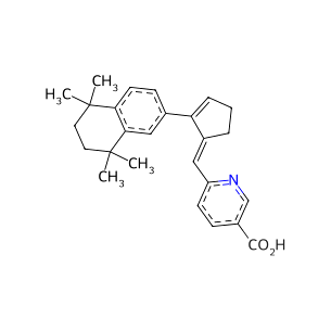 CC1(C)CCC(C)(C)c2cc(C3=CCCC3=Cc3ccc(C(=O)O)cn3)ccc21